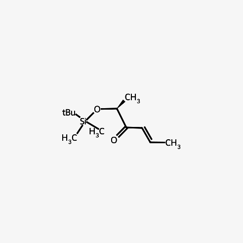 CC=CC(=O)[C@H](C)O[Si](C)(C)C(C)(C)C